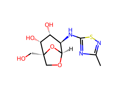 Cc1nsc(N[C@H]2[C@H]3OC[C@](CO)(O3)[C@H](O)[C@@H]2O)n1